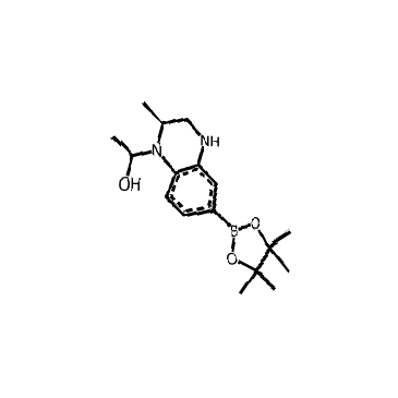 CC(O)N1c2ccc(B3OC(C)(C)C(C)(C)O3)cc2NC[C@@H]1C